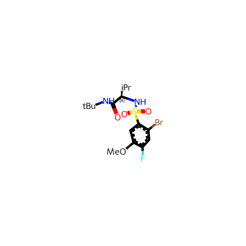 COc1cc(S(=O)(=O)N[C@@H](C(=O)NC(C)(C)C)C(C)C)c(Br)cc1F